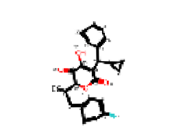 CCC(Cc1ccc(F)cc1)C1OC(=O)C(C(c2ccccc2)C2CC2)=C(O)C1=O